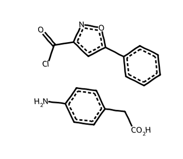 Nc1ccc(CC(=O)O)cc1.O=C(Cl)c1cc(-c2ccccc2)on1